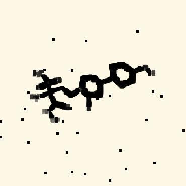 CCOc1ccc(-c2ccn(CC[C@](C)(C(=O)NO)S(C)(=O)=O)c(=O)c2)cc1